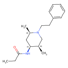 CCC(=O)N[C@H]1C[C@@H](C)N(CCc2ccccc2)C[C@H]1C